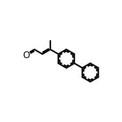 CC(=CC=O)c1ccc(-c2ccccc2)cc1